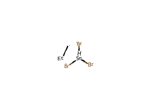 [Br][SnH]([Br])[Br].[CH2]CC